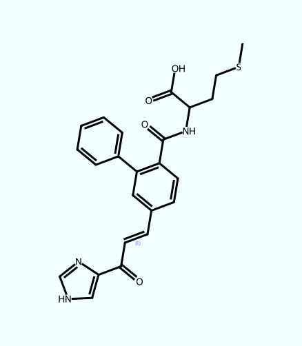 CSCCC(NC(=O)c1ccc(/C=C/C(=O)c2c[nH]cn2)cc1-c1ccccc1)C(=O)O